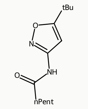 CCCCCC(=O)Nc1cc(C(C)(C)C)on1